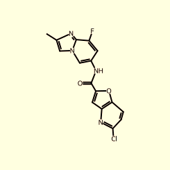 Cc1cn2cc(NC(=O)c3cc4nc(Cl)ccc4o3)cc(F)c2n1